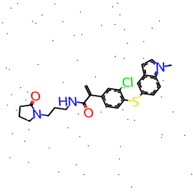 C=C(C(=O)NCCCN1CCCC1=O)c1ccc(Sc2ccc3c(ccn3C)c2)c(Cl)c1